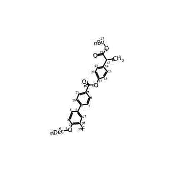 CCCCCCCCCCOc1ccc(-c2ccc(C(=O)Oc3ccc([C@H](C)C(=O)OCCCC)cc3)cc2)cc1F